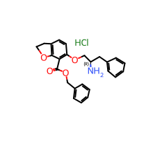 Cl.N[C@@H](COc1ccc2c(c1C(=O)OCc1ccccc1)OCC2)Cc1ccccc1